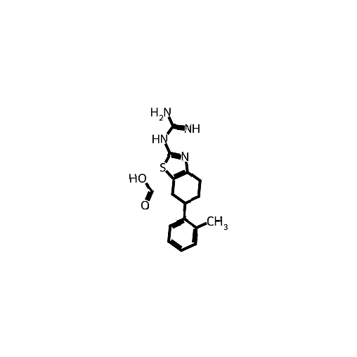 Cc1ccccc1C1CCc2nc(NC(=N)N)sc2C1.O=CO